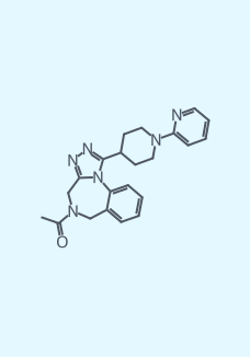 CC(=O)N1Cc2ccccc2-n2c(nnc2C2CCN(c3ccccn3)CC2)C1